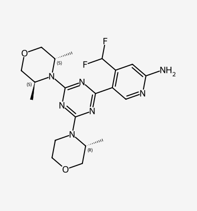 C[C@@H]1COCCN1c1nc(-c2cnc(N)cc2C(F)F)nc(N2[C@@H](C)COC[C@@H]2C)n1